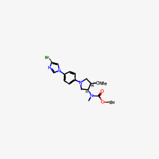 CO[C@@H]1CN(c2ccc(-n3cnc(Br)c3)cc2)C[C@@H]1N(C)C(=O)OC(C)(C)C